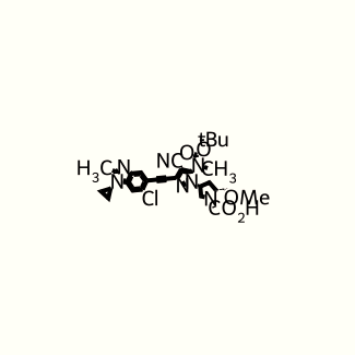 COC[C@H]1C[C@H](n2nc(C#Cc3cc4nc(C)n(C5CC5)c4cc3Cl)c(C#N)c2N(C)C(=O)OC(C)(C)C)CN1C(=O)O